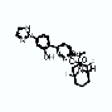 CN(c1ccc(-c2ccc(-n3nccn3)cc2O)nn1)[C@@H]1C[C@H]2CCC[C@@H]([C@@H]1F)N2C(=O)OC(C)(C)C